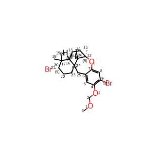 COCOc1cc2c(cc1Br)O[C@]1(C)CC[C@H]3C(C)(C)[C@@H](Br)CC[C@]3(C2)[C@@H]1C